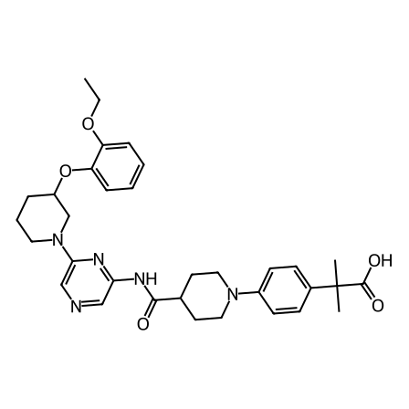 CCOc1ccccc1OC1CCCN(c2cncc(NC(=O)C3CCN(c4ccc(C(C)(C)C(=O)O)cc4)CC3)n2)C1